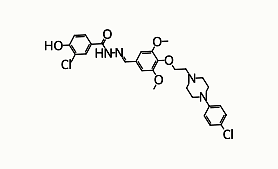 COc1cc(/C=N/NC(=O)c2ccc(O)c(Cl)c2)cc(OC)c1OCCN1CCN(c2ccc(Cl)cc2)CC1